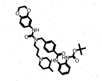 CC1CCN(CCCN(Cc2ccc(C(=O)Nc3ccccc3NC(=O)OC(C)(C)C)cc2)C(=O)Nc2ccc3c(c2)OCCO3)CC1